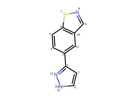 [c]1cc(-c2ccc3sncc3c2)n[nH]1